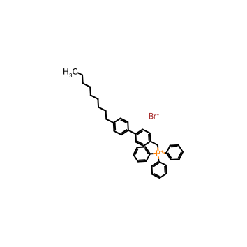 CCCCCCCCCc1ccc(-c2ccc(C[P+](c3ccccc3)(c3ccccc3)c3ccccc3)cc2)cc1.[Br-]